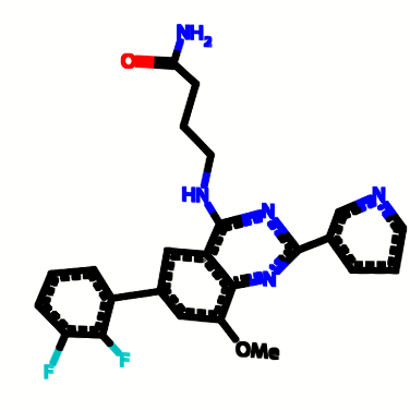 COc1cc(-c2cccc(F)c2F)cc2c(NCCCC(N)=O)nc(-c3cccnc3)nc12